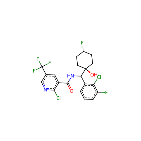 O=C(NC(c1cccc(F)c1Cl)[C@]1(O)CC[C@H](F)CC1)c1cc(C(F)(F)F)cnc1Cl